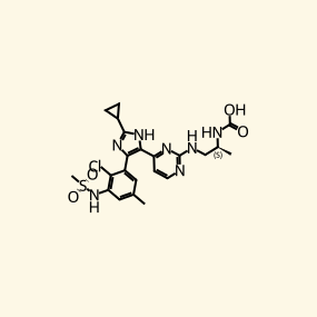 Cc1cc(NS(C)(=O)=O)c(Cl)c(-c2nc(C3CC3)[nH]c2-c2ccnc(NC[C@H](C)NC(=O)O)n2)c1